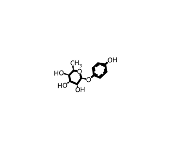 C[C@H]1O[C@@H](Oc2ccc(O)cc2)[C@H](O)[C@@H](O)[C@H]1O